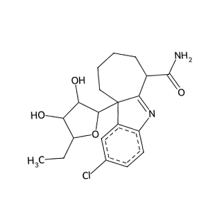 CCC1OC(C23CCCCC(C(N)=O)C2=Nc2ccc(Cl)cc23)C(O)C1O